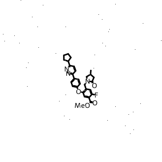 COC(=O)c1cc(Oc2ccc(-c3ccc(C4CCCC4)nn3)cc2)c(CN2CC(C)CC2=O)cc1F